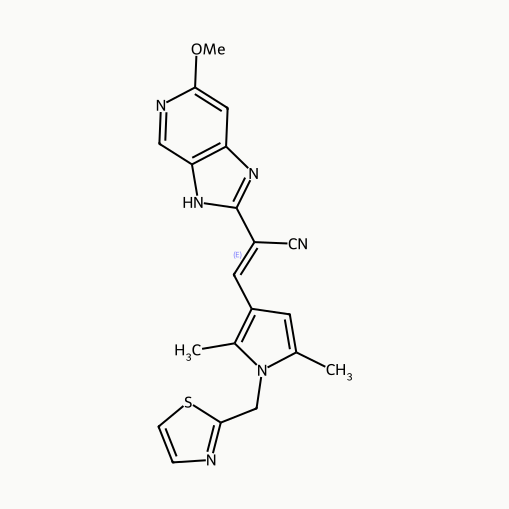 COc1cc2nc(/C(C#N)=C/c3cc(C)n(Cc4nccs4)c3C)[nH]c2cn1